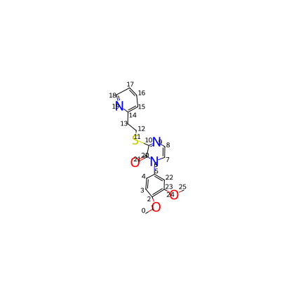 COc1ccc(-n2ccnc(SCCc3ccccn3)c2=O)cc1OC